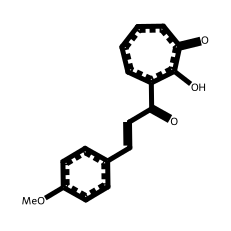 COc1ccc(/C=C/C(=O)c2ccccc(=O)c2O)cc1